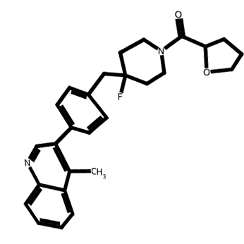 Cc1c(-c2ccc(CC3(F)CCN(C(=O)C4CCCO4)CC3)cc2)cnc2ccccc12